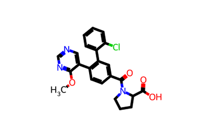 COc1ncncc1-c1ccc(C(=O)N2CCCC2C(=O)O)cc1-c1ccccc1Cl